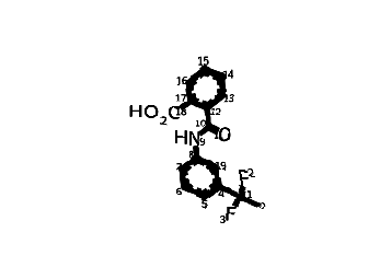 CC(F)(F)c1cccc(NC(=O)c2ccccc2C(=O)O)c1